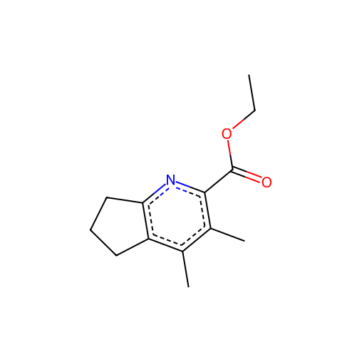 CCOC(=O)c1nc2c(c(C)c1C)CCC2